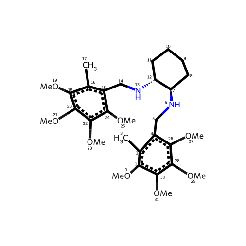 COc1c(C)c(CN[C@@H]2CCCC[C@H]2NCc2c(C)c(OC)c(OC)c(OC)c2OC)c(OC)c(OC)c1OC